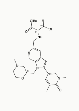 Cc1cc(-c2nc3cc(CN[C@H](C(=O)OCC(C)C)[C@@H](C)O)ccc3n2C[C@H]2CN(C)CCO2)cn(C)c1=O